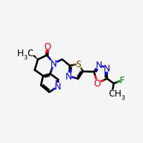 CC(F)c1nnc(-c2cnc(CN3C(=O)[C@H](C)Cc4ccncc43)s2)o1